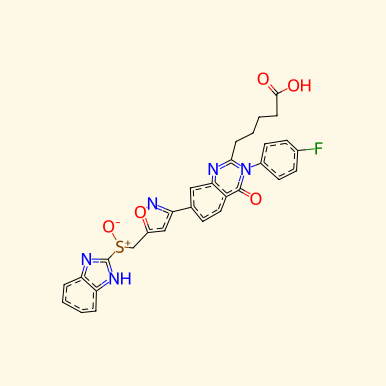 O=C(O)CCCCc1nc2cc(-c3cc(C[S+]([O-])c4nc5ccccc5[nH]4)on3)ccc2c(=O)n1-c1ccc(F)cc1